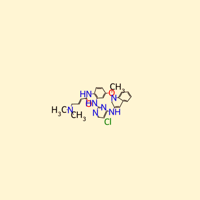 COc1ccc(NC(=O)/C=C/CN(C)C)c(Nc2ncc(Cl)c(Nc3cnc4ccccc4c3)n2)c1